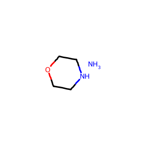 C1COCCN1.N